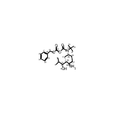 CC(C)[C@H](O)[C@@H]1C[C@H](N(C(=O)OC(=O)OCc2ccccc2)C(C)(C)C)CC[C@@H]1N